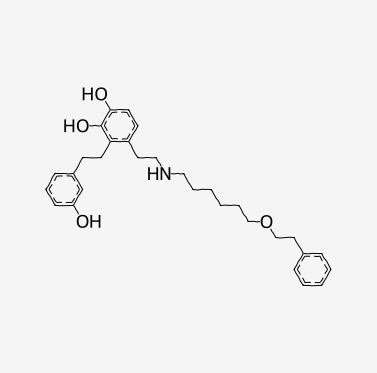 Oc1cccc(CCc2c(CCNCCCCCCOCCc3ccccc3)ccc(O)c2O)c1